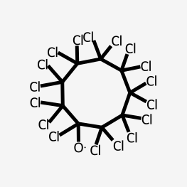 [O]C1(Cl)C(Cl)(Cl)C(Cl)(Cl)C(Cl)(Cl)C(Cl)(Cl)C(Cl)(Cl)C(Cl)(Cl)C(Cl)(Cl)C1(Cl)Cl